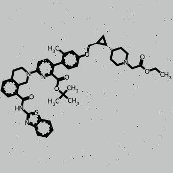 CCOC(=O)CN1CCC([C@H]2C[C@@H]2COc2ccc(-c3ccc(N4CCc5cccc(C(=O)Nc6nc7ccccc7s6)c5C4)nc3C(=O)OC(C)(C)C)c(C)c2)CC1